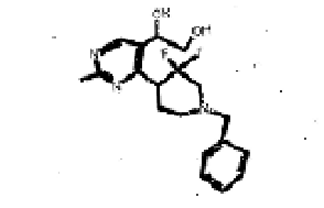 Cc1ncc(C(O)CO)c(C2CCN(Cc3ccccc3)CC2(F)F)n1